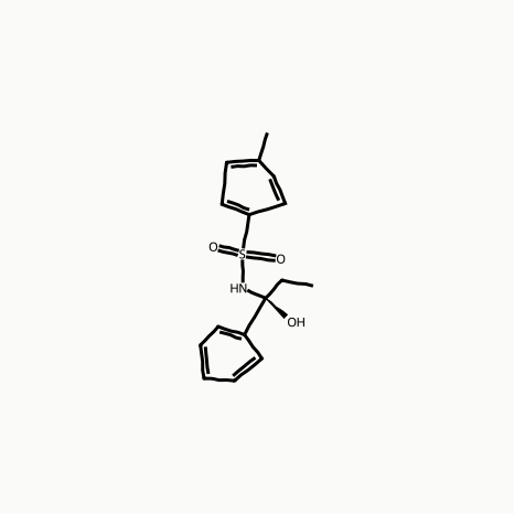 CC[C@@](O)(NS(=O)(=O)c1ccc(C)cc1)c1ccccc1